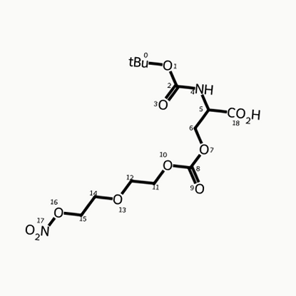 CC(C)(C)OC(=O)NC(COC(=O)OCCOCCO[N+](=O)[O-])C(=O)O